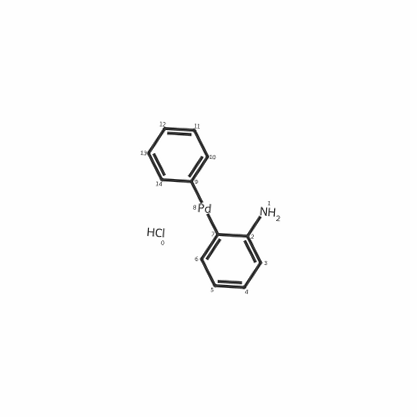 Cl.Nc1cccc[c]1[Pd][c]1ccccc1